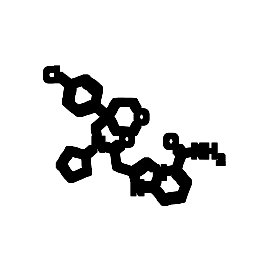 NC(=O)c1cccc2nc(CC(=O)N(CC3(c4ccc(Cl)cc4)CCOCC3)C3CCCC3)cn12